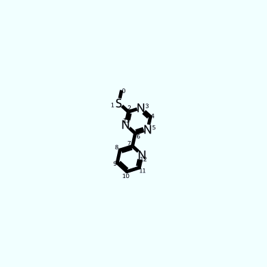 CSc1n[c]nc(-c2ccccn2)n1